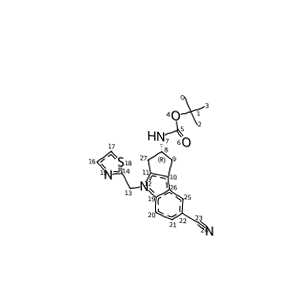 CC(C)(C)OC(=O)N[C@@H]1Cc2c(n(Cc3nccs3)c3ccc(C#N)cc23)C1